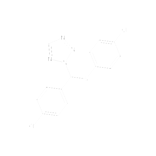 Clc1ccc(SC(c2ccc(Cl)cc2)n2ncnn2)cc1